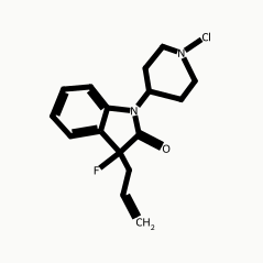 C=CCC1(F)C(=O)N(C2CCN(Cl)CC2)c2ccccc21